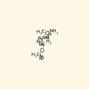 Cc1cc(N)nc(C)c1CNc1ncnc2nn(Cc3ccc(C(C)n4cccn4)cc3)cc12